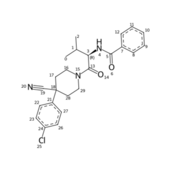 CC(C)[C@@H](NC(=O)c1ccccc1)C(=O)N1CCC(C#N)(c2ccc(Cl)cc2)CC1